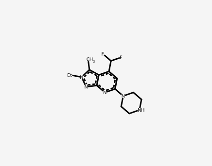 CCn1nc2nc(N3CCNCC3)cc(C(F)F)c2c1C